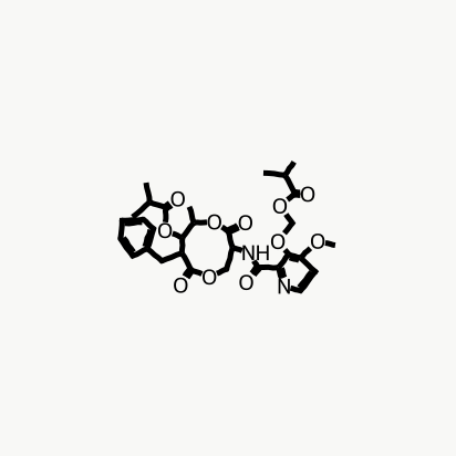 COc1ccnc(C(=O)NC2COC(=O)C(Cc3ccccc3)C(OC(=O)C(C)C)C(C)OC2=O)c1OCOC(=O)C(C)C